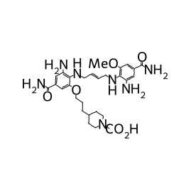 COc1cc(C(N)=O)cc(N)c1NC/C=C/CNc1c(N)cc(C(N)=O)cc1OCCCC1CCN(C(=O)O)CC1